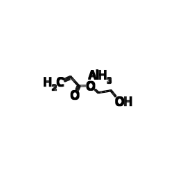 C=CC(=O)OCCO.[AlH3]